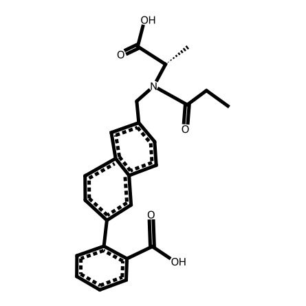 CCC(=O)N(Cc1ccc2cc(-c3ccccc3C(=O)O)ccc2c1)[C@@H](C)C(=O)O